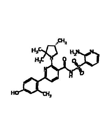 Cc1cc(O)ccc1-c1ccc(C(=O)NS(=O)(=O)c2cccnc2N)c(N2C[C@@H](C)CC2(C)C)n1